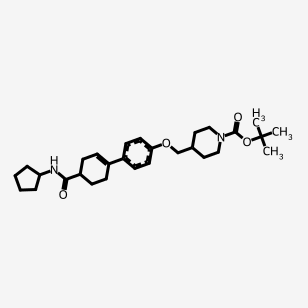 CC(C)(C)OC(=O)N1CCC(COc2ccc(C3=CCC(C(=O)NC4CCCC4)CC3)cc2)CC1